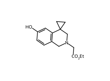 CCOC(=O)CN1Cc2ccc(O)cc2C2(CC2)C1